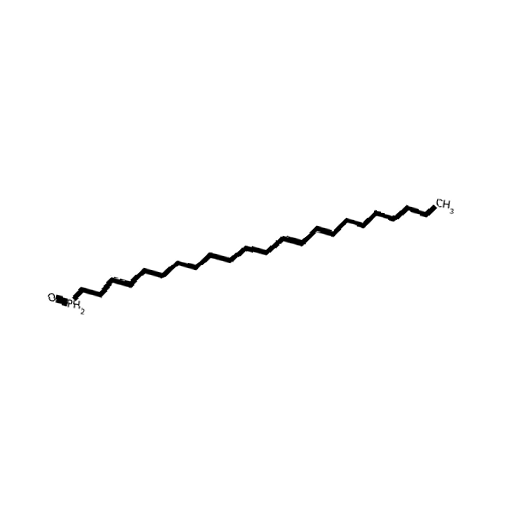 CCCCCCCCCCCCCCCCCCCCCCC[PH2]=O